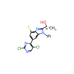 CC(C)n1c([C@@H](C)O)nc2c(F)cc(-c3nc(Cl)ncc3Cl)cc21